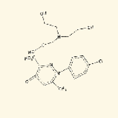 Cc1cc(=O)c(C(=O)O)nn1-c1ccc(Cl)cc1.OCCN(CCO)CCO